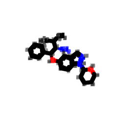 CC(C)[C@H](N)[C@H](Oc1ccc2c(cnn2C2CCCCO2)c1)c1ccccc1